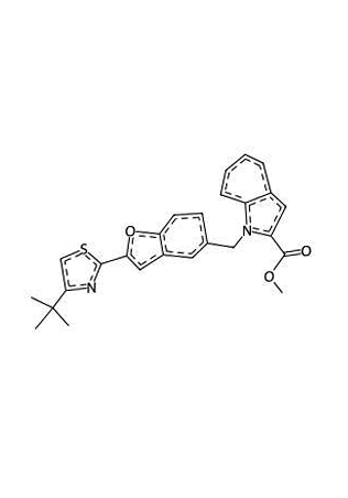 COC(=O)c1cc2ccccc2n1Cc1ccc2oc(-c3nc(C(C)(C)C)cs3)cc2c1